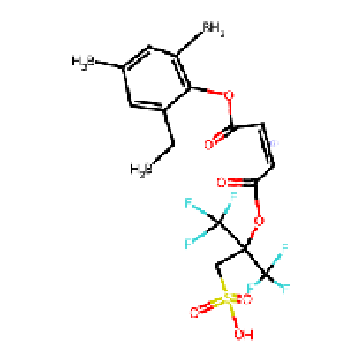 BCc1cc(B)cc(B)c1OC(=O)/C=C\C(=O)OC(CS(=O)(=O)O)(C(F)(F)F)C(F)(F)F